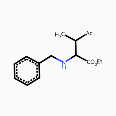 CCOC(=O)C(NCc1ccccc1)C(C)C(C)=O